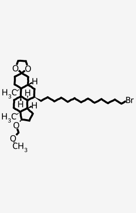 COCO[C@H]1CC[C@H]2[C@@H]3[C@H](CCCCCCCCCCCCCBr)C[C@H]4CC5(CC[C@]4(C)[C@H]3CC[C@]12C)OCCO5